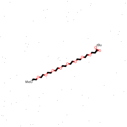 COCCOCCOCCOCCOCCOCCOCCOCCOCCC(=O)OC(C)(C)C